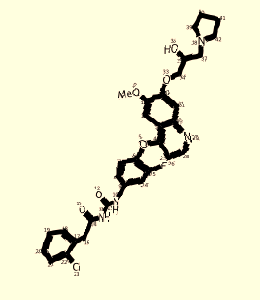 COc1cc2c(Oc3ccc(NC(=O)NC(=O)Cc4ccccc4Cl)cc3F)ccnc2cc1OCC(O)CN1CCCC1